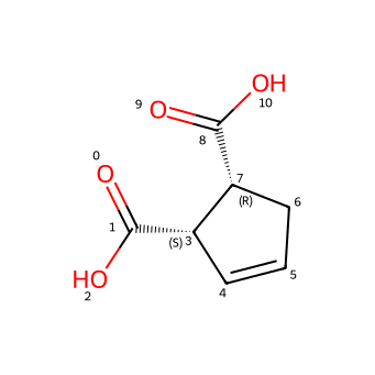 O=C(O)[C@H]1C=CC[C@H]1C(=O)O